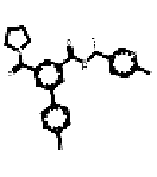 Cc1ccc([C@@H](C)NC(=O)c2cc(C(=O)N3CCCC3)cc(-c3ccc(Br)cc3)c2)cn1